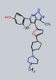 Cc1n[nH]c2nc(-c3ccc(O)cc3F)c(C#N)c(-c3ccc(C4CCC(N5CCN(C)CC5)CC4)o3)c12